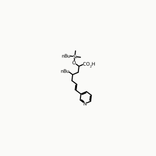 CCCCC(C/C=C/c1cccnc1)CC(O[Si](C)(C)CCCC)C(=O)O